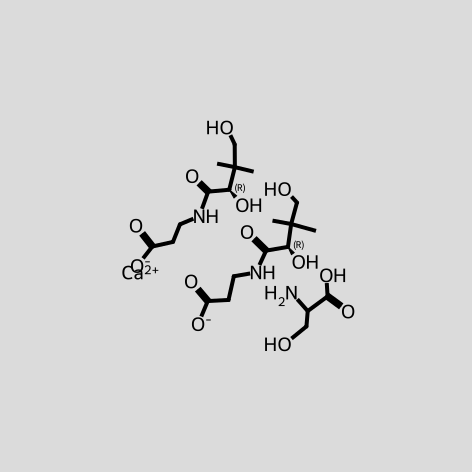 CC(C)(CO)[C@@H](O)C(=O)NCCC(=O)[O-].CC(C)(CO)[C@@H](O)C(=O)NCCC(=O)[O-].NC(CO)C(=O)O.[Ca+2]